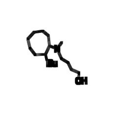 CCC(C)C1CCCCCCC1N(C)CCCCO